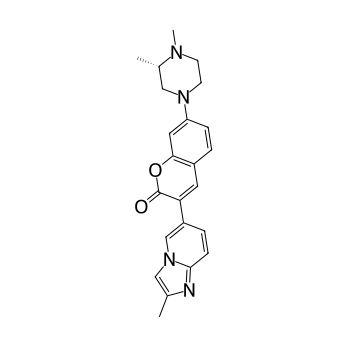 Cc1cn2cc(-c3cc4ccc(N5CCN(C)[C@@H](C)C5)cc4oc3=O)ccc2n1